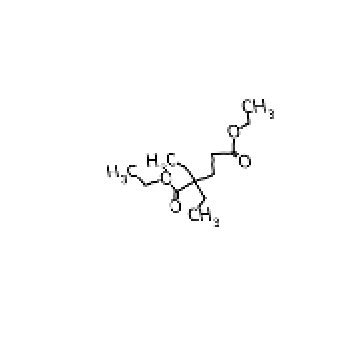 CCOC(=O)CCC(CC)(CC)C(=O)OCC